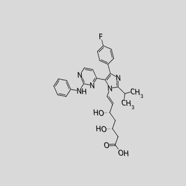 CC(C)c1nc(-c2ccc(F)cc2)c(-c2ccnc(Nc3ccccc3)n2)n1/C=C/[C@@H](O)C[C@@H](O)CC(=O)O